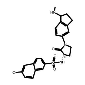 CNC1CCc2cc(N3CC[C@H](NS(=O)(=O)c4ccc5cc(Cl)ccc5c4)C3=O)ccc21